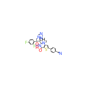 C[C@H](c1nc2cc(-c3ccc(C#N)cc3)sc2c(=O)[nH]1)[C@](O)(Cn1cncn1)c1ccc(F)cc1F